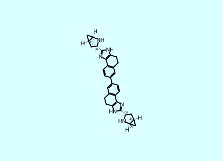 c1cc2c(cc1-c1ccc3c(c1)CCc1[nH]c([C@@H]4C[C@H]5C[C@H]5N4)nc1-3)CCc1[nH]c([C@@H]3C[C@H]4C[C@H]4N3)nc1-2